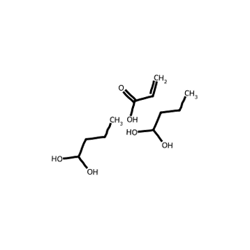 C=CC(=O)O.CCCC(O)O.CCCC(O)O